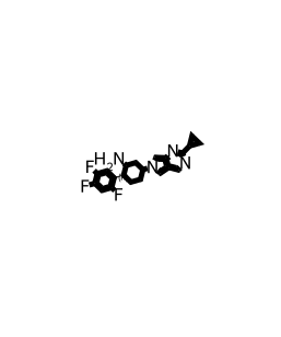 NC1CC(n2cc3cnc(C4CC4)nc3c2)CC[C@@H]1c1cc(F)c(F)cc1F